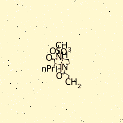 C=CC(=O)N1CC[C@H]2[C@H]1[C@@H](CCC)C(=O)N2S(C)(=O)=O